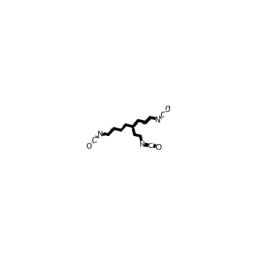 O=C=NCCCCC(CCCN=C=O)CCN=C=O